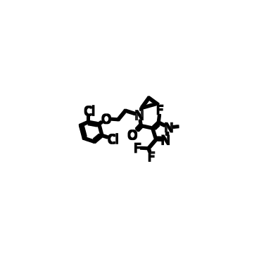 Cn1nc(C(F)F)c(C(=O)N(CCOc2c(Cl)cccc2Cl)C2CC2)c1F